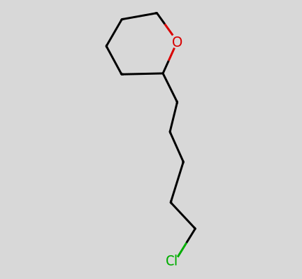 ClCCCCCC1CCCCO1